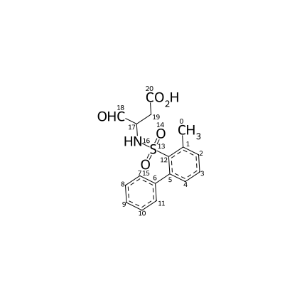 Cc1cccc(-c2ccccc2)c1S(=O)(=O)NC(C=O)CC(=O)O